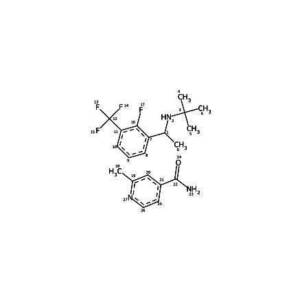 CC(NC(C)(C)C)c1cccc(C(F)(F)F)c1F.Cc1cc(C(N)=O)ccn1